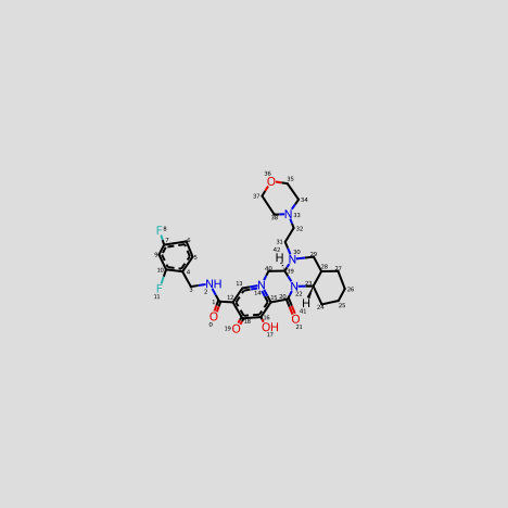 O=C(NCc1ccc(F)cc1F)c1cn2c(c(O)c1=O)C(=O)N1[C@H]3CCCCC3CN(CCN3CCOCC3)[C@@H]1C2